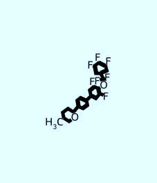 CC1CCC(c2ccc(-c3cc(F)c(OC(F)(F)c4cc(F)c(F)c(F)c4)c(F)c3)cc2)OC1